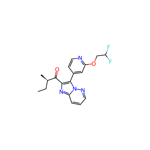 CC[C@@H](C)C(=O)c1nc2cccnn2c1-c1ccnc(OCC(F)F)c1